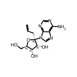 C=CC[C@@]1(n2cnc3c(N)ncnc32)O[C@H](CO)[C@@H](O)[C@H]1O